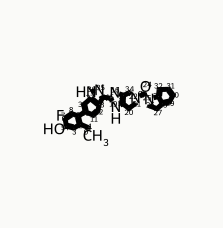 CCc1cc(O)c(F)cc1-c1ccc2c(-c3nc4c([nH]3)CCN(C(=O)N3CCc5ccccc53)C4)n[nH]c2c1